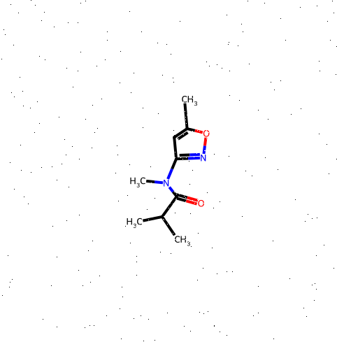 Cc1cc(N(C)C(=O)C(C)C)no1